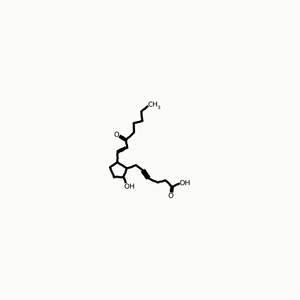 CCCCCC(=O)/C=C/C1CCC(O)C1CC#CCCC(=O)O